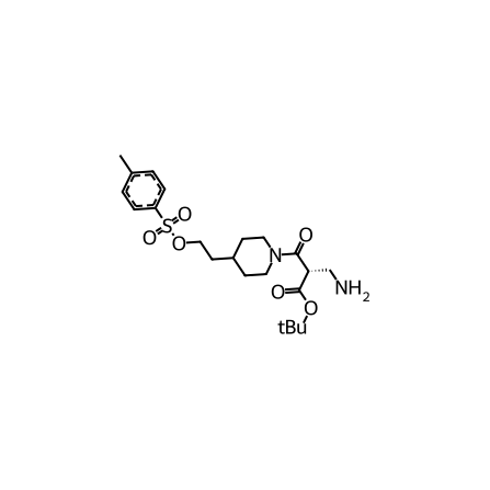 Cc1ccc(S(=O)(=O)OCCC2CCN(C(=O)[C@H](CN)C(=O)OC(C)(C)C)CC2)cc1